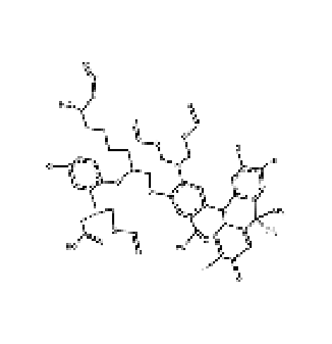 CC(CCCCC(COc1cc(C(=O)O)c(C2=C3C=C(Cl)C(=O)C=C3C(C)(C)c3cc(O)c(Cl)cc32)cc1N(COC=O)COC=O)Oc1ccc(Cl)cc1N(COC=O)CC(=O)O)N=[N+]=[N-]